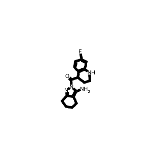 Nc1c2c(nn1C(=O)C1CCNc3cc(F)ccc31)CCCC2